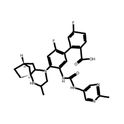 Cc1ncc(NC(=O)Nc2cc(-c3cc(F)ccc3C(=O)O)c(F)cc2N2CC(C)N[C@]34CC[C@H](CC23)C4)cn1